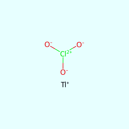 [O-][Cl+2]([O-])[O-].[Tl+]